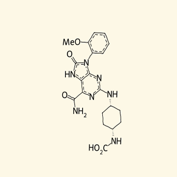 COc1ccccc1-n1c(=O)[nH]c2c(C(N)=O)nc(N[C@H]3CC[C@@H](NC(=O)O)CC3)nc21